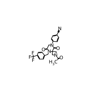 CC(=O)N1CC2(C1)C(=O)N(c1ccc(C#N)cc1)CC(=O)N2Cc1ccc(C(F)(F)F)cc1